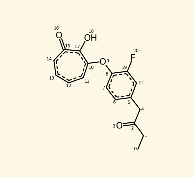 CCC(=O)Cc1ccc(Oc2ccccc(=O)c2O)c(F)c1